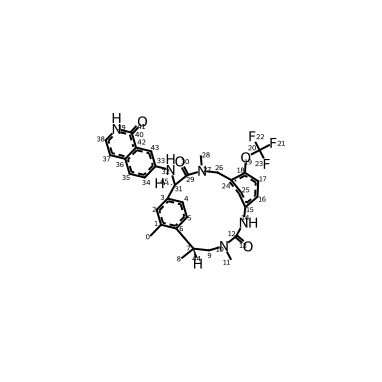 Cc1cc2ccc1[C@@H](C)CN(C)C(=O)Nc1ccc(OC(F)(F)F)c(c1)CN(C)C(=O)[C@@H]2Nc1ccc2cc[nH]c(=O)c2c1